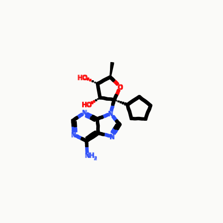 C[C@H]1O[C@@](C2CCCC2)(n2cnc3c(N)ncnc32)[C@H](O)[C@@H]1O